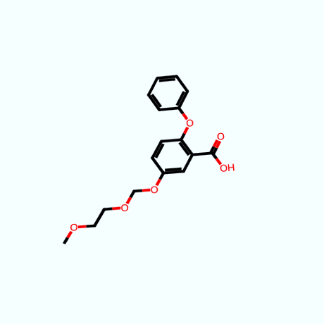 COCCOCOc1ccc(Oc2ccccc2)c(C(=O)O)c1